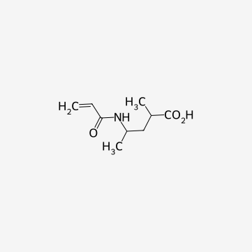 C=CC(=O)NC(C)CC(C)C(=O)O